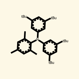 Cc1cc(C)c(N(c2cc(C(C)(C)C)cc(C(C)(C)C)c2)c2cc(C(C)(C)C)cc(C(C)(C)C)c2)c(C)c1